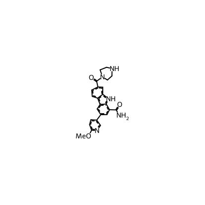 COc1ccc(-c2cc(C(N)=O)c3[nH]c4cc(C(=O)N5CCNCC5)ccc4c3c2)cn1